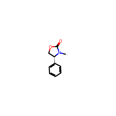 [CH2]N1C(=O)OC[C@H]1c1ccccc1